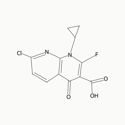 O=C(O)c1c(F)n(C2CC2)c2nc(Cl)ccc2c1=O